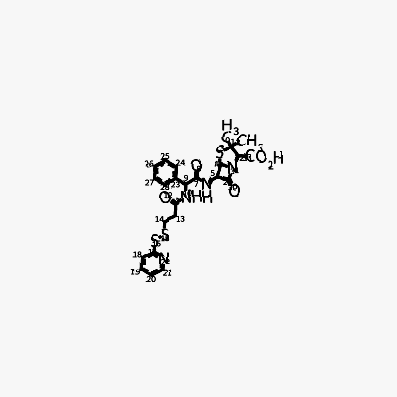 CC1(C)SC2C(NC(=O)C(NC(=O)CCSSc3ccccn3)c3ccccc3)C(=O)N2C1C(=O)O